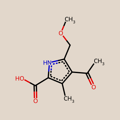 COCc1[nH]c(C(=O)O)c(C)c1C(C)=O